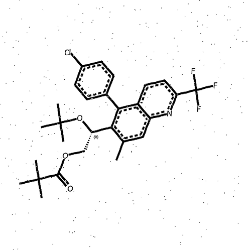 Cc1cc2nc(C(F)(F)F)ccc2c(-c2ccc(Cl)cc2)c1[C@H](COC(=O)C(C)(C)C)OC(C)(C)C